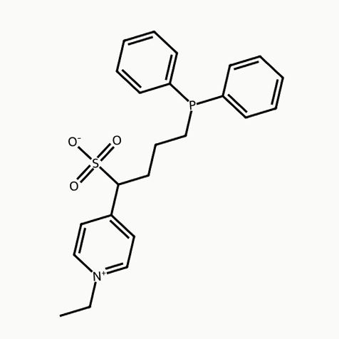 CC[n+]1ccc(C(CCCP(c2ccccc2)c2ccccc2)S(=O)(=O)[O-])cc1